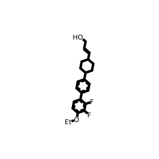 CCOc1ccc(-c2ccc(C3CCC(/C=C/CO)CC3)cc2)c(F)c1F